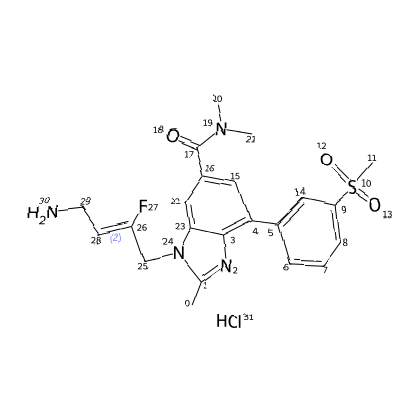 Cc1nc2c(-c3cccc(S(C)(=O)=O)c3)cc(C(=O)N(C)C)cc2n1C/C(F)=C/CN.Cl